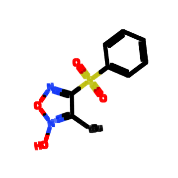 CC(C)(C)c1c(S(=O)(=O)c2ccccc2)no[n+]1O